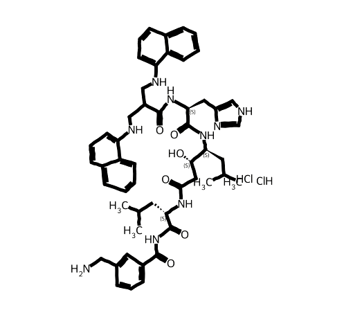 CC(C)C[C@H](NC(=O)C[C@H](O)[C@H](CC(C)C)NC(=O)[C@H](Cc1c[nH]cn1)NC(=O)C(CNc1cccc2ccccc12)CNc1cccc2ccccc12)C(=O)NC(=O)c1cccc(CN)c1.Cl.Cl